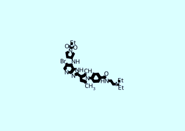 CCN(CC)CCNC(=O)c1ccc(-n2c(C)cc(-c3nc4ncc(Br)c(N[C@H]5CCN(S(=O)(=O)CC)C5)c4[nH]3)c2C)cc1